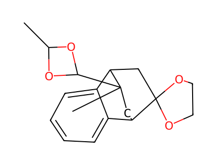 CC1OC(C2(C)CC3c4ccccc4C2CC32OCCO2)O1